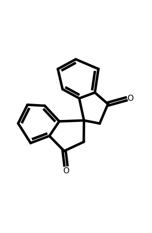 O=C1CC2(CC(=O)c3ccccc32)c2ccccc21